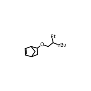 CCCCC(CC)COC1CC2C=CC1C2